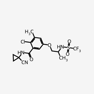 Cc1cc(OCC(C)NS(=O)(=O)C(F)(F)F)cc(C(=O)NC2(C#N)CC2)c1Cl